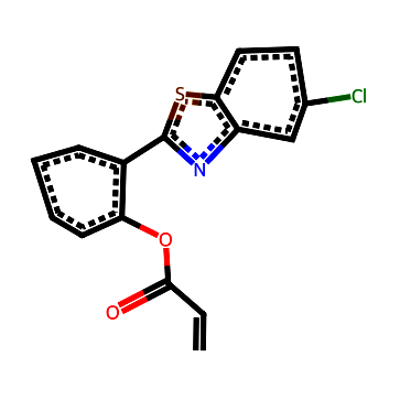 C=CC(=O)Oc1ccccc1-c1nc2cc(Cl)ccc2s1